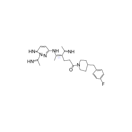 CC(=N)/C(CCC(=O)N1CCC(Cc2ccc(F)cc2)CC1)=C(/C)Nc1ccc(=N)n(C(C)=N)n1